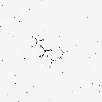 CC[N](C)[Ti].CC[N](C)[Ti].CC[N](C)[Ti].CC[N](C)[Ti]